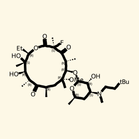 CC[C@H]1OC(=O)[C@@](C)(F)C(=O)[C@H](C)[C@@H](O[C@@H]2O[C@H](C)C[C@H](N(C)CCC(C)(C)C)[C@H]2O)[C@](C)(OC)C[C@@H](C)C(=O)[C@H](C)[C@@H](O)[C@]1(C)O